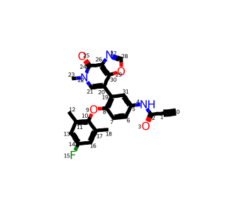 C#CC(=O)Nc1ccc(Oc2c(C)cc(F)cc2C)c(-c2cn(C)c(=O)c3ncoc23)c1